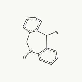 CC(C)(C)C1c2ccccc2C[S+]([O-])c2ccccc21